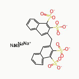 O=S(=O)([O-])c1c(Cc2cc3ccccc3c(S(=O)(=O)[O-])c2S(=O)(=O)[O-])cc2ccccc2c1S(=O)(=O)[O-].[Na+].[Na+].[Na+].[Na+]